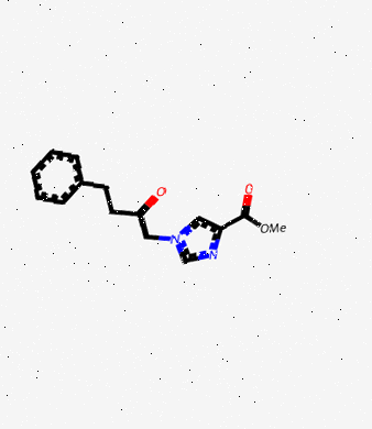 COC(=O)c1cn(CC(=O)CCc2ccccc2)cn1